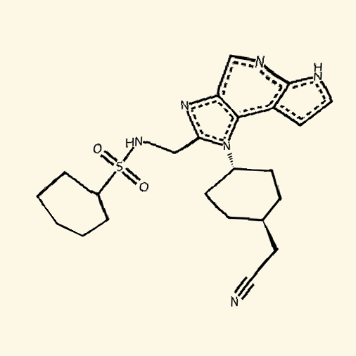 N#CC[C@H]1CC[C@H](n2c(CNS(=O)(=O)C3CCCCC3)nc3cnc4[nH]ccc4c32)CC1